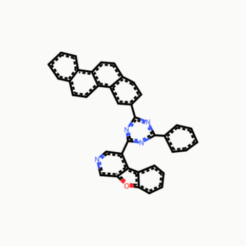 c1ccc(-c2nc(-c3ccc4ccc5c6ccccc6ccc5c4c3)nc(-c3cncc4oc5ccccc5c34)n2)cc1